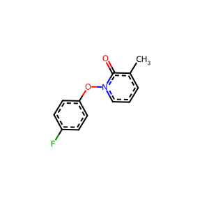 Cc1cccn(Oc2ccc(F)cc2)c1=O